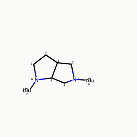 CC(C)(C)N1CC2CCN(C(C)(C)C)C2C1